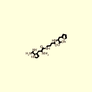 N=C(N)C1NCC=C1CC(N)C(=O)NCCCC(=O)NC(Cc1cccs1)C(=O)O